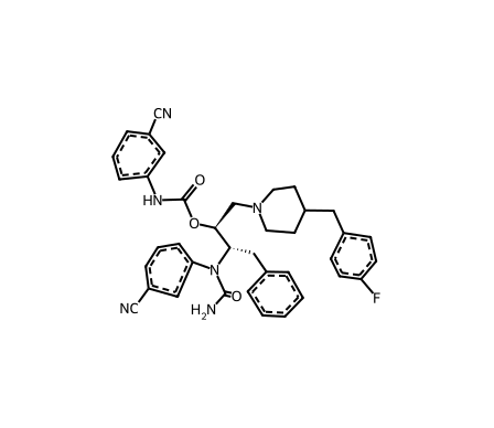 N#Cc1cccc(NC(=O)O[C@@H](CN2CCC(Cc3ccc(F)cc3)CC2)[C@H](Cc2ccccc2)N(C(N)=O)c2cccc(C#N)c2)c1